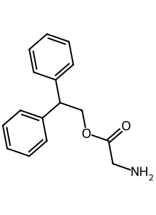 NCC(=O)OCC(c1ccccc1)c1ccccc1